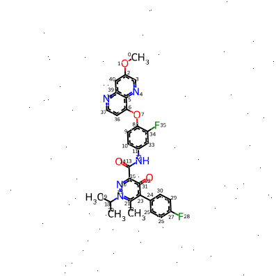 COc1cnc2c(Oc3ccc(NC(=O)c4nn(C(C)C)c(C)c(-c5ccc(F)cc5)c4=O)cc3F)ccnc2c1